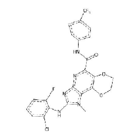 Cn1c(Nc2c(F)cccc2Cl)nc2nc(C(=O)Nc3ccc(C(F)(F)F)cc3)c3c(c21)OCCO3